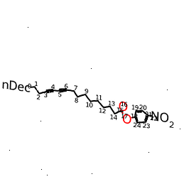 CCCCCCCCCCCCC#CC#CCCCCCCCCC(=O)Oc1ccc([N+](=O)[O-])cc1